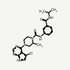 CC(C)NC(=O)c1cccc(NC(=O)N2CCN(c3ncnc4[nH]cc(Cl)c34)CC2C)c1